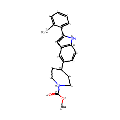 COc1ccccc1-c1cc2cc(C3CCN(C(=O)OC(C)(C)C)CC3)ccc2[nH]1